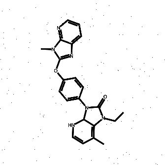 CCN1C(=O)N(c2ccc(Oc3nc4cccnc4n3C)cc2)C2NC=CC(C)=C21